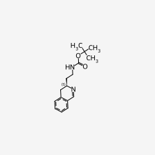 CC(C)(C)OC(=O)NCC[C@@H]1Cc2ccccc2C=N1